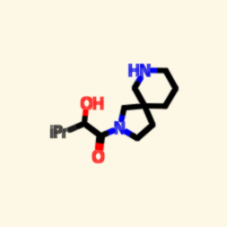 CC(C)C(O)C(=O)N1CCC2(CCCNC2)C1